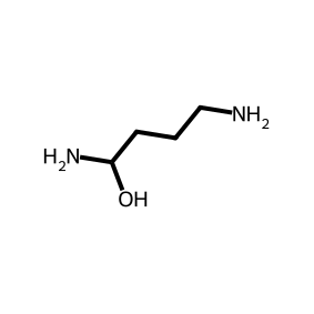 NCCCC(N)O